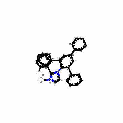 Cc1ccccc1-c1n(-c2c(-c3ccccc3)cc(-c3ccccc3)cc2-c2ccccc2)cc[n+]1C